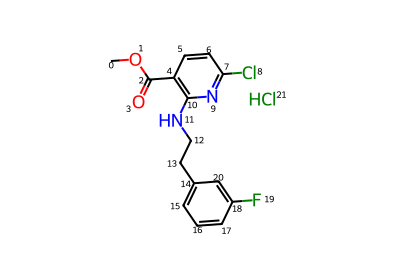 COC(=O)c1ccc(Cl)nc1NCCc1cccc(F)c1.Cl